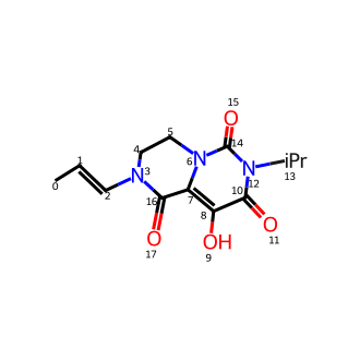 CC=CN1CCn2c(c(O)c(=O)n(C(C)C)c2=O)C1=O